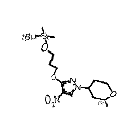 C[C@H]1CC(n2cc([N+](=O)[O-])c(OCCCO[Si](C)(C)C(C)(C)C)n2)CCO1